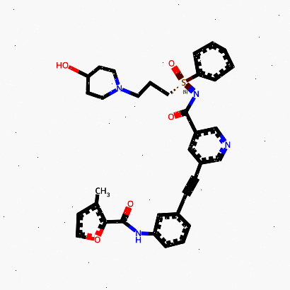 Cc1ccoc1C(=O)Nc1cccc(C#Cc2cncc(C(=O)N=[S@](=O)(CCCN3CCC(O)CC3)c3ccccc3)c2)c1